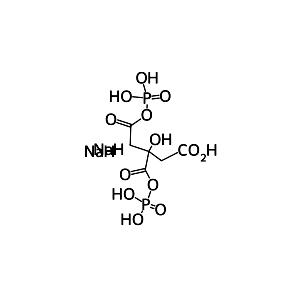 O=C(O)CC(O)(CC(=O)OP(=O)(O)O)C(=O)OP(=O)(O)O.[NaH].[NaH]